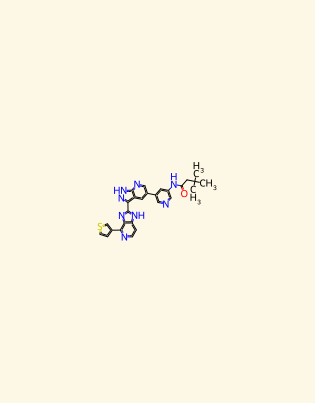 CC(C)(C)CC(=O)Nc1cncc(-c2cnc3[nH]nc(-c4nc5c(-c6ccsc6)nccc5[nH]4)c3c2)c1